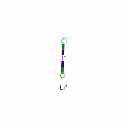 Cl[I-]Cl.[Li+]